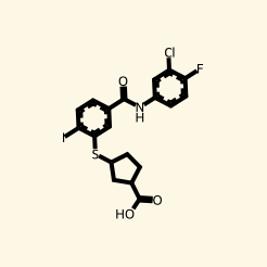 O=C(Nc1ccc(F)c(Cl)c1)c1ccc(I)c(SC2CCC(C(=O)O)C2)c1